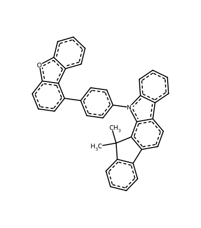 CC1(C)c2ccccc2-c2ccc3c4ccccc4n(-c4ccc(-c5cccc6oc7ccccc7c56)cc4)c3c21